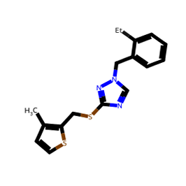 CCc1ccccc1Cn1cnc(SCc2sccc2C)n1